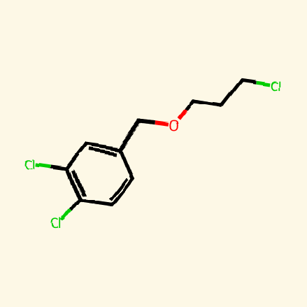 ClCCCOCc1ccc(Cl)c(Cl)c1